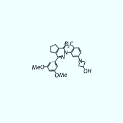 COc1cc(OC)cc(-c2nn(-c3cc(N4CC(O)C4)ccc3C(F)(F)F)c(=O)c3c2CCC3)c1